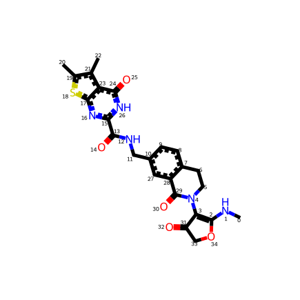 CNC1=C(N2CCc3ccc(CNC(=O)c4nc5sc(C)c(C)c5c(=O)[nH]4)cc3C2=O)C(=O)CO1